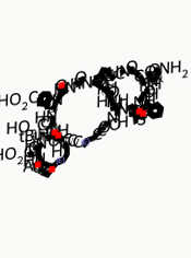 CC(=O)N1CCC[C@]12C/C=C/CCC[C@@]1(CCC/C=C/CCCOC(=O)N3CC4N[C@@H](Cc5ccsc5)C(=O)N[C@@H](Cc5csc6ccccc56)C(=O)N[C@H](C(=O)N[C@@H](C)C(N)=O)CCC(=O)NCCCC[C@H](NC(=O)[C@H](Cc5ccsc5)NC(=O)[C@H](C)NC(=O)C(C)(C)NC(=O)[C@H](Cc5cccc(C(=O)O)c5)NC(=O)[C@H](CC(=O)O)NC1=O)C(=O)N[C@@H]4C3)NC(O)[C@H](CC(C)(C)C)NC(=O)[C@H](CC(=O)O)NC2=O